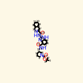 CC(C)(C)OC(=O)N1CCC[C@H](CNC(=O)c2cccc3[nH]c(NC(=O)c4cc5ccccc5cn4)nc23)C1